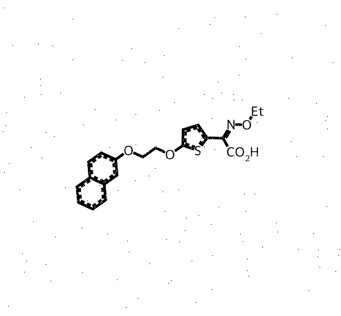 CCON=C(C(=O)O)c1ccc(OCCOc2ccc3ccccc3c2)s1